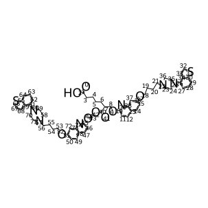 O=C(O)CCCCC(COc1ccc2ccc(OCCCCN3CCN(c4cccc5sccc45)CC3)cc2n1)C(=O)OCOc1ccc2ccc(OCCCCN3CCN(c4cccc5sccc45)CC3)cc2n1